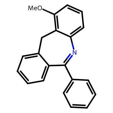 COc1cccc2c1Cc1ccccc1C(c1ccccc1)=N2